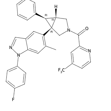 Cc1cc2c(cnn2-c2ccc(F)cc2)cc1[C@]12CN(C(=O)c3cc(C(F)(F)F)ccn3)C[C@H]1[C@@H]2c1ccccc1